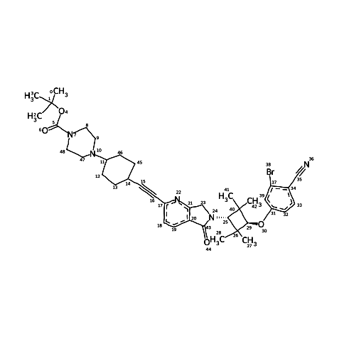 CC(C)(C)OC(=O)N1CCN(C2CCC(C#Cc3ccc4c(n3)CN([C@H]3C(C)(C)[C@H](Oc5ccc(C#N)c(Br)c5)C3(C)C)C4=O)CC2)CC1